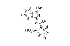 CC(=O)c1nn(CC(=O)N2[C@@H]3C[C@@H]3C[C@H]2C(=O)O)c2c1C=CNC2